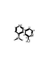 CN(C)c1ccncc1.Clc1ccccn1